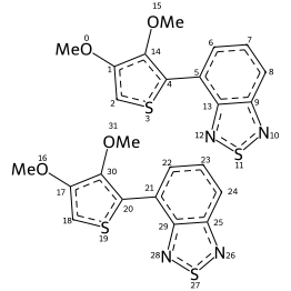 COc1csc(-c2cccc3nsnc23)c1OC.COc1csc(-c2cccc3nsnc23)c1OC